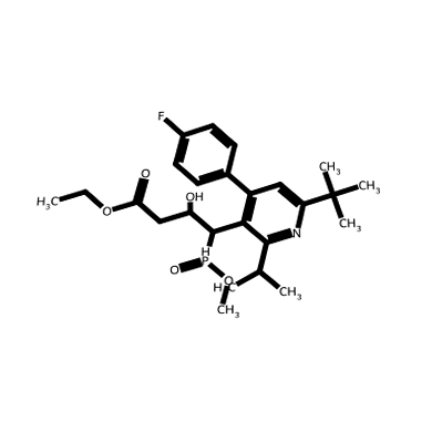 CCOC(=O)CC(O)C(c1c(-c2ccc(F)cc2)cc(C(C)(C)C)nc1C(C)C)[PH](=O)OC